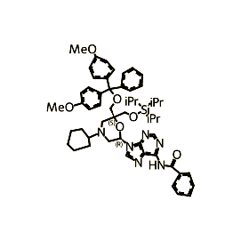 COc1ccc(C(OC[C@]2(CO[Si](C(C)C)(C(C)C)C(C)C)CN(C3CCCCC3)C[C@H](n3cnc4c(NC(=O)c5ccccc5)ncnc43)O2)(c2ccccc2)c2ccc(OC)cc2)cc1